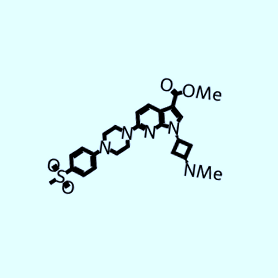 CN[C@H]1C[C@@H](n2cc(C(=O)OC)c3ccc(N4CCN(c5ccc(S(C)(=O)=O)cc5)CC4)nc32)C1